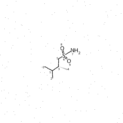 CC(C)[C@@H](C)CS(N)(=O)=O